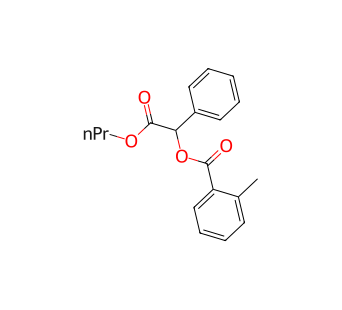 CCCOC(=O)C(OC(=O)c1ccccc1C)c1ccccc1